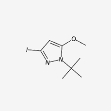 COc1cc(I)nn1C(C)(C)C